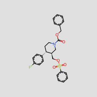 O=C(OCc1ccccc1)N1CC[C@@H](c2ccc(F)cc2)[C@H](COS(=O)(=O)c2ccccc2)C1